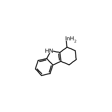 [InH2][CH]1CCCc2c1[nH]c1ccccc21